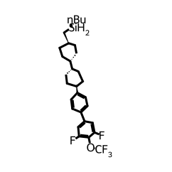 CCCC[SiH2]C[C@H]1CC[C@H]([C@H]2CC[C@H](c3ccc(-c4cc(F)c(OC(F)(F)F)c(F)c4)cc3)CC2)CC1